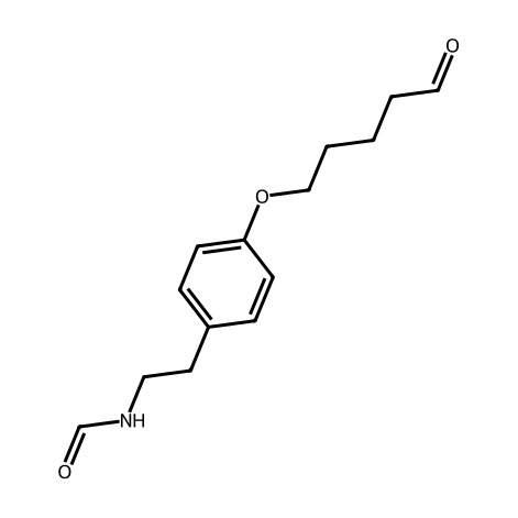 O=CCCCCOc1ccc(CCNC=O)cc1